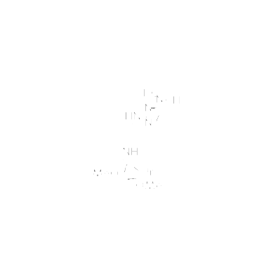 COc1cc(OC)c(CNCC2CCC(Nc3nccc(N(C)C)n3)CC2)cc1Br